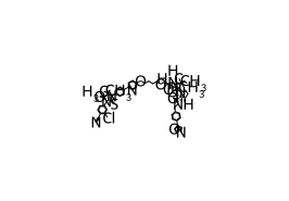 CC(C)(C)C(NC(=O)COCCCCOc1ccc(-c2ccc(N3C(=S)N(c4ccc(C#N)c(Cl)c4)C(=O)C3(C)C)cc2)nc1)C(=O)N1CCC[C@H]1C(=O)NCc1ccc(-c2cnco2)cc1